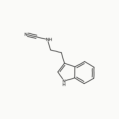 N#CNCCc1c[nH]c2ccccc12